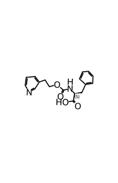 O=C(N[C@@H](Cc1ccccc1)C(=O)O)OCCc1cccnc1